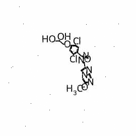 COc1cn2cc(-c3nc(-c4cc(Cl)c(OCC(O)CO)cc4Cl)no3)nc2cn1